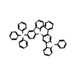 c1ccc(-c2cc3c(cc2-n2c4ccccc4c4cc([Si](c5ccccc5)(c5ccccc5)c5ccccc5)ccc42)c2ccccc2n3-c2ccccc2)cc1